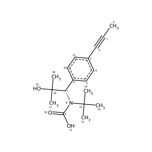 CC#Cc1ccc([C@H](N(C(=O)O)C(C)(C)C)C(C)(C)O)cc1